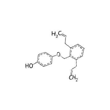 C=CCc1cccc(CC=C)c1COc1ccc(O)cc1